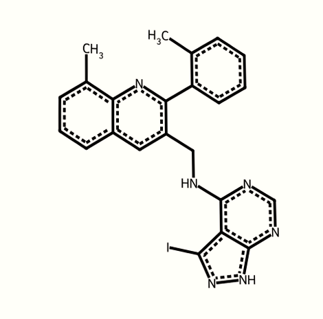 Cc1ccccc1-c1nc2c(C)cccc2cc1CNc1ncnc2[nH]nc(I)c12